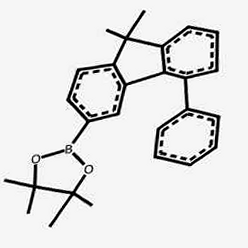 CC1(C)c2ccc(B3OC(C)(C)C(C)(C)O3)cc2-c2c(-c3ccccc3)cccc21